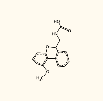 COc1cccc2c1-c1ccccc1C(CNC(=O)O)O2